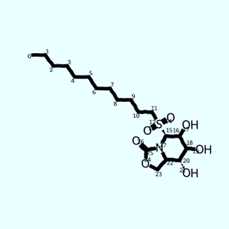 CCCCCCCCCCCCS(=O)(=O)[C@@H]1C(O)C(O)[C@H](O)C2COC(=O)N21